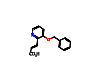 O=C(O)C=Cc1ncccc1OCc1ccccc1